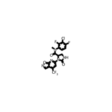 CN(C(=O)C1CNC(=O)N1c1cc(C(F)(F)F)c2cnoc2n1)c1ccc(F)c(Cl)c1F